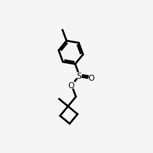 Cc1ccc(S(=O)OCC2(C)CCC2)cc1